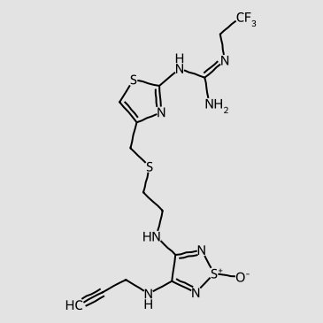 C#CCNc1n[s+]([O-])nc1NCCSCc1csc(N/C(N)=N\CC(F)(F)F)n1